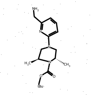 C[C@H]1CN(c2cccc(CN)n2)C[C@H](C)N1C(=O)OC(C)(C)C